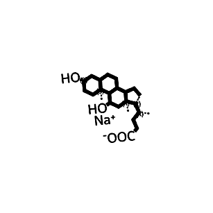 C[C@H](CCC(=O)[O-])[C@H]1CCC2C3CCC4C[C@H](O)CC[C@]4(C)C3C(O)C[C@@]21C.[Na+]